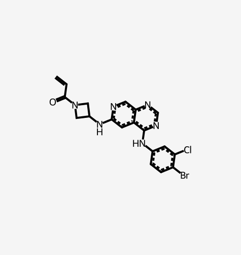 C=CC(=O)N1CC(Nc2cc3c(Nc4ccc(Br)c(Cl)c4)ncnc3cn2)C1